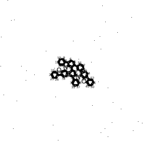 c1ccc(-c2ccc3c4ccccc4n(-c4cccc5c4oc4ccccc45)c3c2-c2ccc3c4ccccc4n(-c4cccc5c4oc4ccccc45)c3c2)cc1